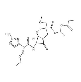 CCON=C(C(=O)NC1C(=O)N2CC(COC)(C(=O)OC(C)OC(=O)CC)CS[C@H]12)c1csc(N)n1